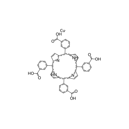 O=C(O)c1cccc(-c2c3nc(c(-c4cccc(C(=O)O)c4)c4ccc([nH]4)c(-c4cccc(C(=O)O)c4)c4nc(c(-c5cccc(C(=O)O)c5)c5ccc2[nH]5)C=C4)C=C3)c1.[Cu]